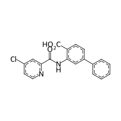 O=C(Nc1cc(-c2ccccc2)ccc1C(=O)O)c1cc(Cl)ccn1